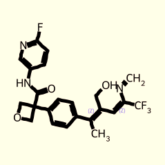 C=N/C(=C\C(CO)=C(/C)c1ccc(C2(C(=O)Nc3ccc(F)nc3)COC2)cc1)C(F)(F)F